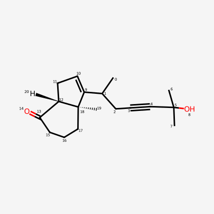 CC(CC#CC(C)(C)O)C1=CC[C@H]2C(=O)CCC[C@]12C